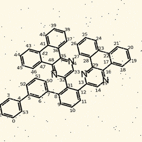 [c]1cccc(-c2[c]c(-c3cccc(-c4cnc5c6ccccc6c6ccccc6c5n4)c3-c3cnc4c5ccccc5c5ccccc5c4n3)ccc2)c1